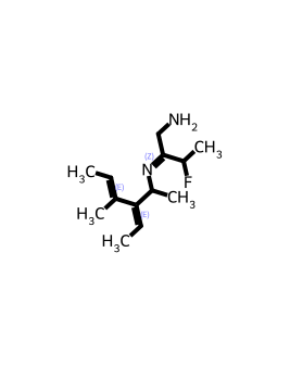 C/C=C(C)/C(=C\C)C(C)/N=C(/CN)C(C)F